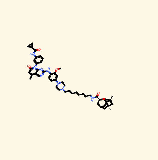 COc1cc(N2CCN(CCCCCCCCNC(=O)[C@@]34CC5CC6(C3)[C@](C)(C5)C[C@@]6(C)C4)CC2)ccc1Nc1ncc2c(C)cc(=O)n(-c3cccc(NC(=O)C4CC4)c3)c2n1